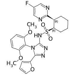 COc1cccc(OC)c1-n1c(NS(=O)(=O)[C@@H]2CCCC[C@@H]2c2ncc(F)cn2)nnc1-c1ccco1